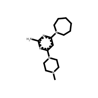 CN1CCN(c2cc(N3CCCCCC3)nc(N)n2)CC1